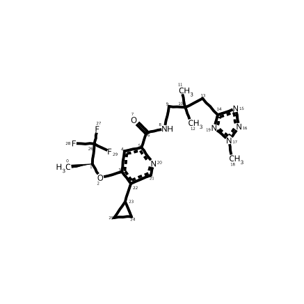 C[C@H](Oc1cc(C(=O)NCC(C)(C)Cc2nnn(C)n2)ncc1C1CC1)C(F)(F)F